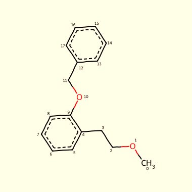 COCCc1ccccc1OCc1ccccc1